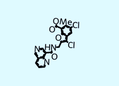 COC(=O)c1cc(Cl)cc2c(Cl)c(CNC(=O)c3cncc4cccnc34)oc12